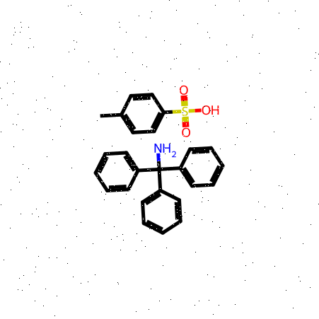 Cc1ccc(S(=O)(=O)O)cc1.NC(c1ccccc1)(c1ccccc1)c1ccccc1